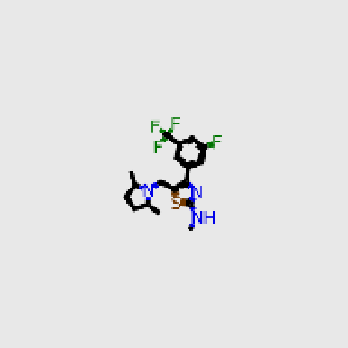 CNc1nc(-c2cc(F)cc(C(F)(F)F)c2)c(CN2C(C)CCC2C)s1